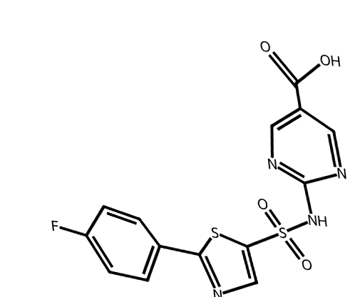 O=C(O)c1cnc(NS(=O)(=O)c2cnc(-c3ccc(F)cc3)s2)nc1